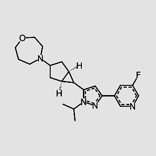 CC(C)n1nc(-c2cncc(F)c2)cc1C1[C@H]2CC(N3CCCOCC3)C[C@@H]12